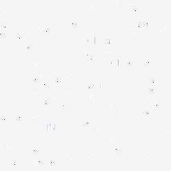 CC(C)N(C)CC1CC2(CCNC2)C1